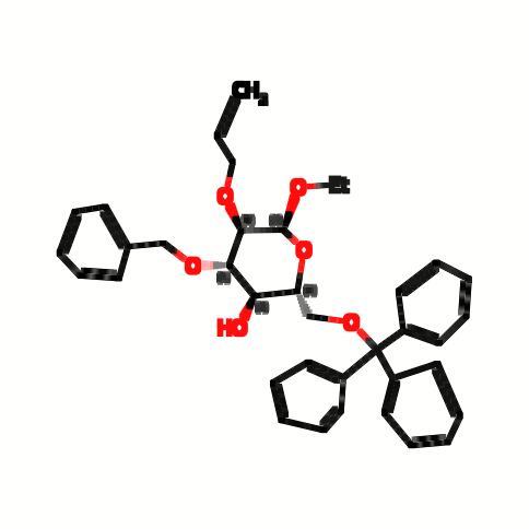 C=CCO[C@H]1[C@@H](OCC)O[C@H](COC(c2ccccc2)(c2ccccc2)c2ccccc2)[C@@H](O)[C@@H]1OCc1ccccc1